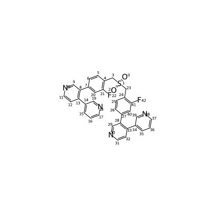 O=S(=O)(Cc1ccc(-c2cnccc2-c2cccnc2)cc1F)Cc1ccc(-c2cnccc2-c2cccnc2)cc1F